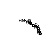 O=S(=O)(CCCCO)N1CC=C(c2ccc3nc(OC4CCN(c5nc6ccccc6s5)CC4)sc3c2)CC1